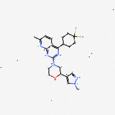 Cc1ccc2c(C3CCC(F)(F)CC3)nc(N3CCOC(c4cnn(C)c4)C3)nc2n1